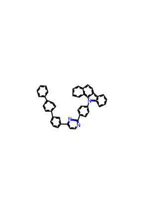 c1ccc(-c2ccc(-c3cccc(-c4ccnc(-c5ccc(-n6c7ccccc7c7ccc8ccccc8c76)cc5)n4)c3)cc2)cc1